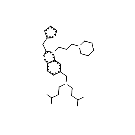 CC(C)CCN(CCC(C)C)Cc1ccc2nc(Cc3cccs3)n(CCCN3CCCCC3)c2c1